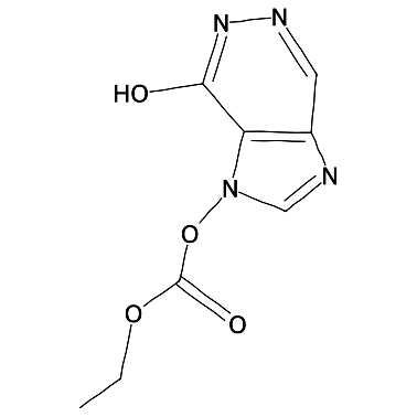 CCOC(=O)On1cnc2cnnc(O)c21